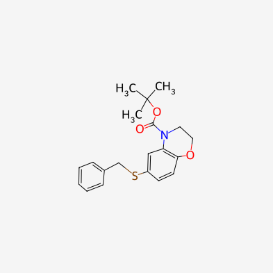 CC(C)(C)OC(=O)N1CCOc2ccc(SCc3ccccc3)cc21